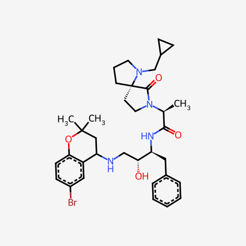 C[C@@H](C(=O)N[C@@H](Cc1ccccc1)[C@H](O)CNC1CC(C)(C)Oc2ccc(Br)cc21)N1CC[C@@]2(CCCN2CC2CC2)C1=O